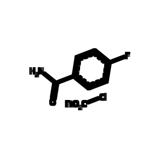 CCOC(=O)Cl.NC(=O)c1ccc(F)cc1